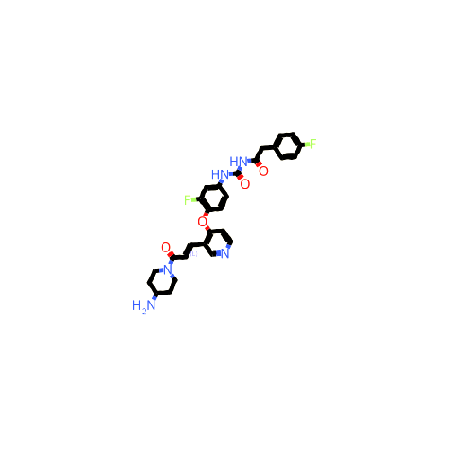 NC1CCN(C(=O)/C=C/c2cnccc2Oc2ccc(NC(=O)NC(=O)Cc3ccc(F)cc3)cc2F)CC1